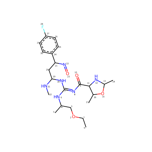 CCOCC(C)N/C(=N/C(=O)C1NC(C)OC1C)NC(CC(N=O)c1ccc(F)cc1)NC